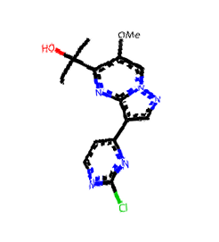 COc1cn2ncc(-c3ccnc(Cl)n3)c2nc1C(C)(C)O